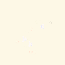 CC(C)c1csc(COc2ccn3c(=O)cc(O)nc3c2)n1